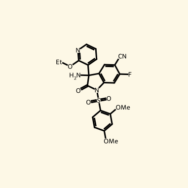 CCOc1ncccc1C1(N)C(=O)N(S(=O)(=O)c2ccc(OC)cc2OC)c2cc(F)c(C#N)cc21